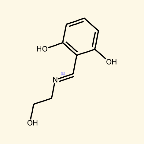 OCC/N=C/c1c(O)cccc1O